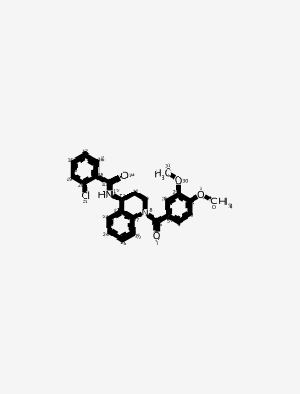 COc1ccc(C(=O)N2CCC(NC(=O)c3ccccc3Cl)c3ccccc32)cc1OC